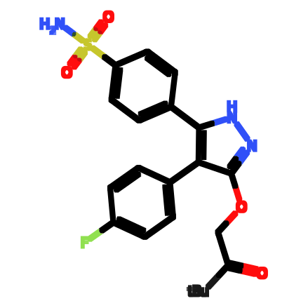 CC(C)(C)C(=O)COc1n[nH]c(-c2ccc(S(N)(=O)=O)cc2)c1-c1ccc(F)cc1